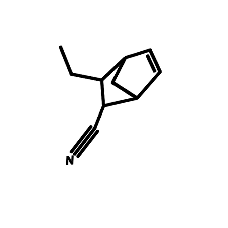 CCC1C2C=CC(C2)C1C#N